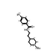 CCC(C)N1CCC(CCNC(=O)c2ccc(C(C)C)cc2)CC1